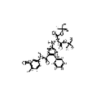 Cc1ccc(N(C)C(=O)c2sc(NN(C(=O)OC(C)(C)C)C(=O)OC(C)(C)C)nc2-c2ccccc2)cc1Cl